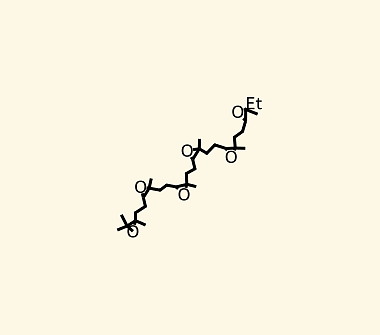 CCC1(C)OC1CCC1(C)OC1CCC1(C)OC1CCC1(C)OC1CCC1(C)OC1CCC1(C)OC1(C)C